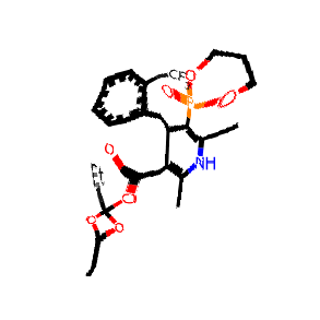 CCC1(OC(=O)C2=C(C)NC(C)=C(P3(=O)OCCCO3)C2c2ccccc2C(F)(F)F)OC(C)O1